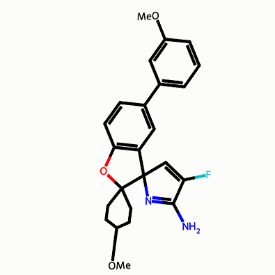 COc1cccc(-c2ccc3c(c2)C2(C=C(F)C(N)=N2)C2(CCC(OC)CC2)O3)c1